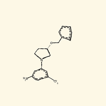 Nc1cc(N2CC[C@H](OCc3ccccc3)C2)cc(C(F)(F)F)c1